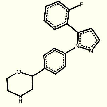 Fc1ccccc1-c1ccnn1-c1ccc(C2CNCCO2)cc1